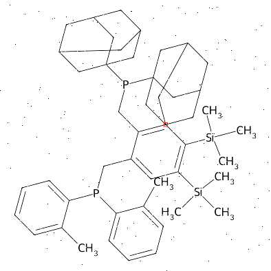 Cc1ccccc1P(Cc1cc([Si](C)(C)C)c([Si](C)(C)C)cc1CP(C12CC3CC(CC(C3)C1)C2)C12CC3CC(CC(C3)C1)C2)c1ccccc1C